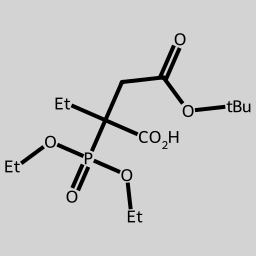 CCOP(=O)(OCC)C(CC)(CC(=O)OC(C)(C)C)C(=O)O